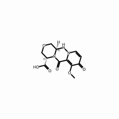 COc1c2n(ccc1=O)N[C@@H]1COC[C@@H](C(=O)O)N1C2=O